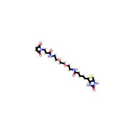 O=C(CCCCC1SCC2NC(=O)NC21)NCCOCCOCCNC(=O)CCN1C(=O)C=CC1=O